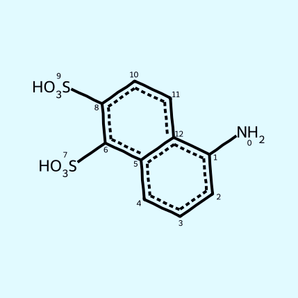 Nc1cccc2c(S(=O)(=O)O)c(S(=O)(=O)O)ccc12